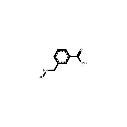 CCC(C)NCc1cccc(C(=O)NC)c1